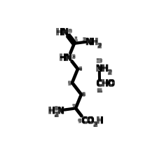 N=C(N)NCCCC(N)C(=O)O.NC=O